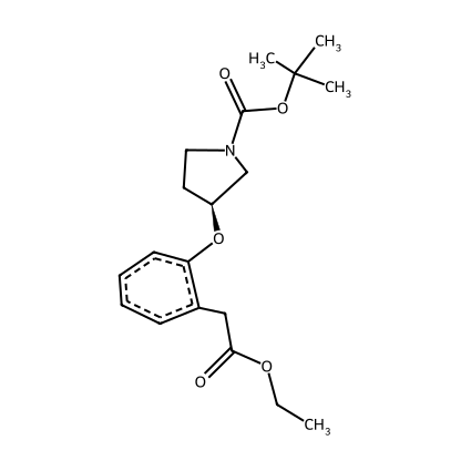 CCOC(=O)Cc1ccccc1O[C@H]1CCN(C(=O)OC(C)(C)C)C1